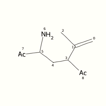 C=C(C)C(CC(N)C(C)=O)C(C)=O